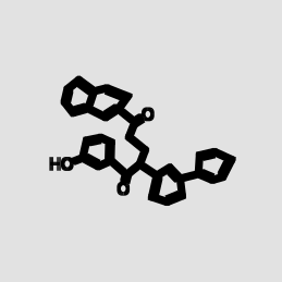 O=C(CCC(C(=O)c1cccc(O)c1)c1cccc(-c2ccccc2)c1)c1ccc2ccccc2c1